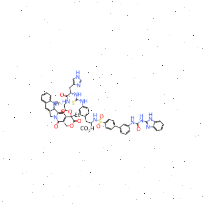 CC[C@@]1(OC(=O)[C@@H](NC(=O)C(Cc2c[nH]cn2)NC(=S)Nc2ccc(CC(NS(=O)(=O)c3ccc(-c4cccc(NC(=O)Nc5nc6ccccc6[nH]5)c4)cc3)C(=O)O)cc2)C(C)C)C(=O)OCc2c1cc1n(c2=O)Cc2cc3ccccc3nc2-1